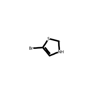 BrC1=CN[CH]S1